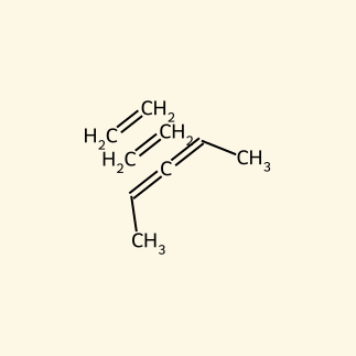 C=C.C=C.CC=C=CC